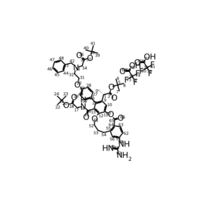 C[C@H](C(=O)OC(C)(C)C)c1cc2c(c(C(=O)NCC(=O)OC(C)(C)C)c1-c1ccc(OCCN(CC(=O)OC(C)(C)C)Cc3ccccc3)cc1)OCCCc1cc(NC(=N)N)ccc1C(=O)O2.O=C(O)C(F)(F)F.O=C(O)C(F)(F)F